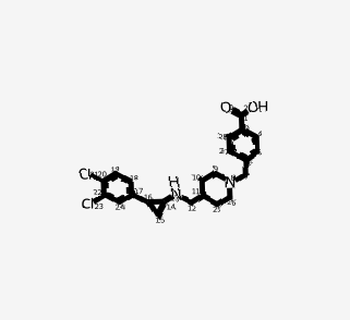 O=C(O)c1ccc(CN2CCC(CNC3CC3c3ccc(Cl)c(Cl)c3)CC2)cc1